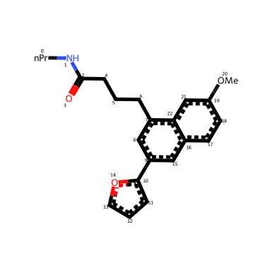 CCCNC(=O)CCCc1cc(-c2ccco2)cc2ccc(OC)cc12